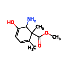 COC(=O)C1(C)C(C)=CC=C(O)C1N